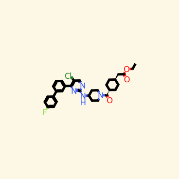 CCOC(=O)C[C@H]1CC[C@H](C(=O)N2CCC(Nc3ncc(Cl)c(-c4cccc(-c5ccc(F)cc5)c4)n3)CC2)CC1